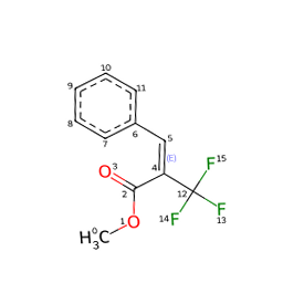 COC(=O)/C(=C\c1ccccc1)C(F)(F)F